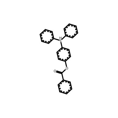 O=C(Oc1ccc([SH](c2ccccc2)c2ccccc2)cc1)c1ccccc1